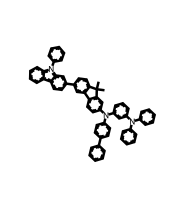 CC1(C)c2ccc(-c3ccc4c5ccccc5n(-c5ccccc5)c4c3)cc2-c2ccc(N(c3ccc(-c4ccccc4)cc3)c3cccc(N(c4ccccc4)c4ccccc4)c3)cc21